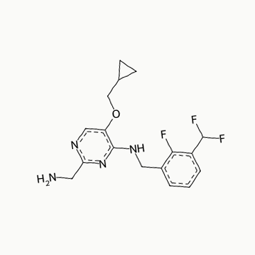 NCc1ncc(OCC2CC2)c(NCc2cccc(C(F)F)c2F)n1